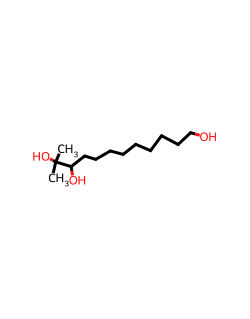 CC(C)(O)C(O)CCCCCCCCCO